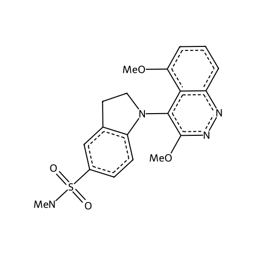 CNS(=O)(=O)c1ccc2c(c1)CCN2c1c(OC)nnc2cccc(OC)c12